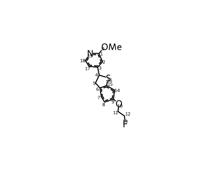 COc1cc(C2Cc3ccc(OCCF)cc3S2)ccn1